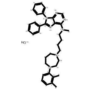 Cc1cccc(N2CCCN(CCCCN(C)c3ncnc4c3nc(-c3ccccc3)n4-c3ccccc3)CC2)c1C.Cl